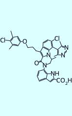 Cc1cc(OCCCc2c3n(c4c(-c5c(C)ncnc5C)c(Cl)ccc24)C(C)CN(c2cccc4cc(C(=O)O)[nH]c24)C3=O)cc(C)c1Cl